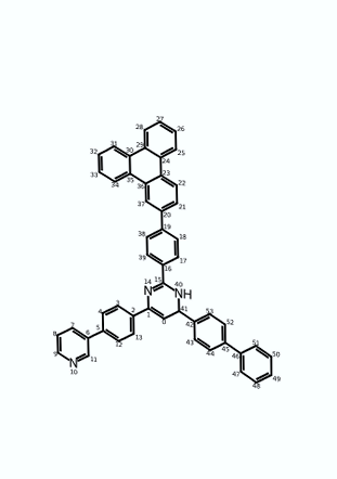 C1=C(c2ccc(-c3cccnc3)cc2)N=C(c2ccc(-c3ccc4c5ccccc5c5ccccc5c4c3)cc2)NC1c1ccc(-c2ccccc2)cc1